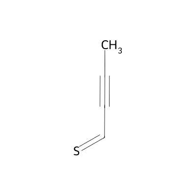 CC#CC=S